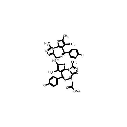 COC(=O)C[C@@H]1N=C(c2ccc(Cl)cc2)c2c(sc(B[C@@H]3N=C(c4ccc(Cl)cc4)c4c(sc(C)c4C)-n4c(C)nnc43)c2C)-n2c(C)nnc21